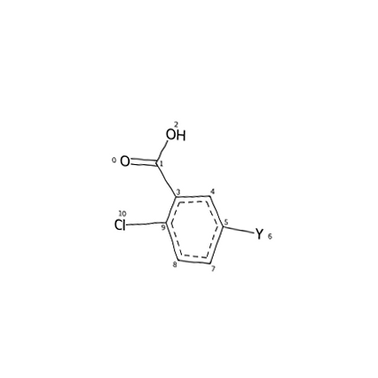 O=C(O)c1c[c]([Y])ccc1Cl